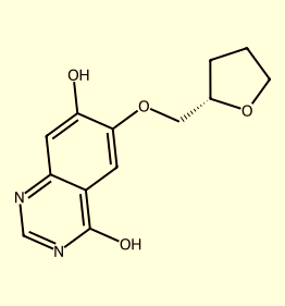 Oc1cc2ncnc(O)c2cc1OC[C@@H]1CCCO1